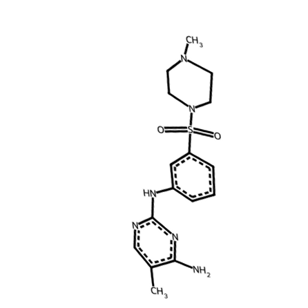 Cc1cnc(Nc2cccc(S(=O)(=O)N3CCN(C)CC3)c2)nc1N